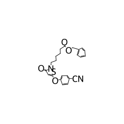 N#Cc1ccc(Oc2cc(=O)n(CCCCCC(=O)OCc3ccccc3)s2)cc1